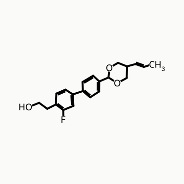 C/C=C/C1COC(c2ccc(-c3ccc(CCO)c(F)c3)cc2)OC1